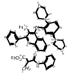 CCOC(=O)C(C)C(=O)Nc1ccccc1.Cc1c(-c2ccccn2)nc2ccccc2c1Nc1cc(N2CCOCC2)ccc1N1CCOCC1